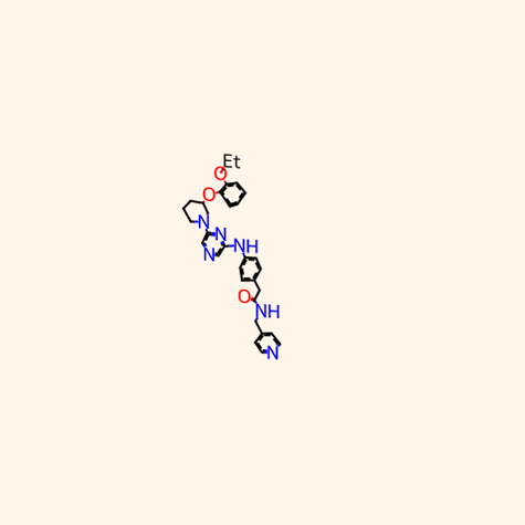 CCOc1ccccc1OC1CCCN(c2cncc(Nc3ccc(CC(=O)NCc4ccncc4)cc3)n2)C1